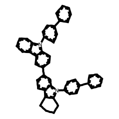 c1ccc(-c2ccc(-n3c4c(c5ccc(-c6ccc7c(c6)c6ccccc6n7-c6ccc(-c7ccccc7)cc6)cc53)CCCC4)cc2)cc1